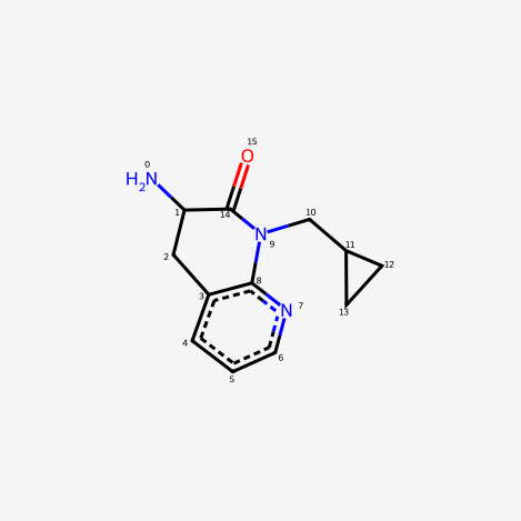 NC1Cc2cccnc2N(CC2CC2)C1=O